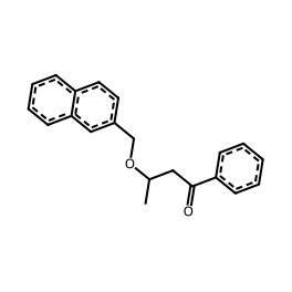 CC(CC(=O)c1ccccc1)OCc1ccc2ccccc2c1